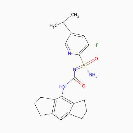 CC(C)c1cnc([S@@](N)(=O)=NC(=O)Nc2c3c(cc4c2CCC4)CCC3)c(F)c1